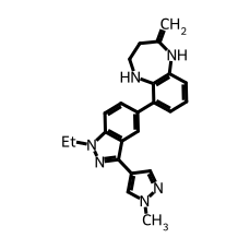 C=C1CCNc2c(cccc2-c2ccc3c(c2)c(-c2cnn(C)c2)nn3CC)N1